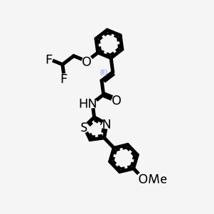 COc1ccc(-c2csc(NC(=O)/C=C/c3ccccc3OCC(F)F)n2)cc1